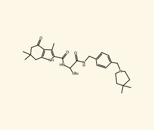 CCCCC(NC(=O)c1[nH]c2c(c1C)C(=O)CC(C)(C)C2)C(=O)NCc1ccc(CN2CCC(C)(C)CC2)cc1